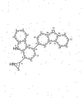 c1ccc2c(c1)[nH]c1c(C3CN3)ccc(-c3ccc4oc5ccccc5c4c3)c12